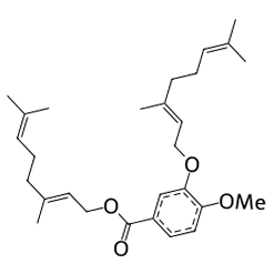 COc1ccc(C(=O)OC/C=C(\C)CCC=C(C)C)cc1OC/C=C(\C)CCC=C(C)C